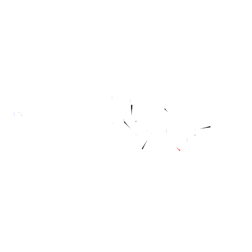 C[C@]12C=CC(=O)C=C1CC[C@@H]1[C@@H]2[C@@H](O)C[C@@]2(C)[C@H]1C[C@H]1O[C@@H](c3ccc(CC4CCNCC4)cc3)O[C@]12C(=O)CO